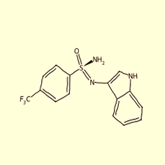 N[S@@](=O)(=Nc1c[nH]c2ccccc12)c1ccc(C(F)(F)F)cc1